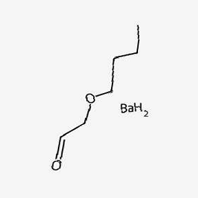 CCCCOCC=O.[BaH2]